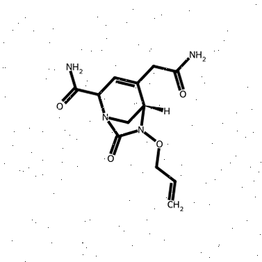 C=CCON1C(=O)N2C[C@@H]1C(CC(N)=O)=CC2C(N)=O